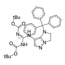 CC(C)(C)OC(=O)/N=C(/NC(=O)OC(C)(C)C)Nc1cnn2c1N(C(c1ccccc1)(c1ccccc1)c1ccccc1)CC2